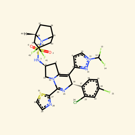 O=S(=O)(N[C@H]1CC2=C(c3ccn(C(F)F)n3)[C@H](c3ccc(F)cc3Cl)N=C(c3nccs3)N2C1)N1C2CC[C@H]1CC(F)(F)C2